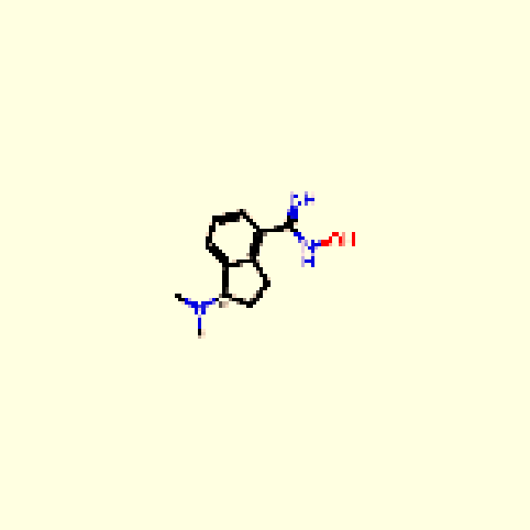 CN(C)[C@@H]1CCc2c(C(=N)NO)cccc21